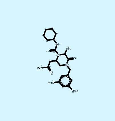 CCCCC1C(=O)N(Cc2cc(OC)cc(OC)c2)CC(CC(=O)NC)N1C(=O)NC1CCCCC1